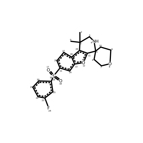 CC1(C)CNC2(CCOCC2)c2oc3cc(S(=O)(=O)c4cccc(F)c4)ccc3c21